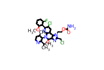 COc1cccc(F)c1-c1nc2c(cc1Cl)c1c(nc(CCl)n1CCOC(N)=O)c(=O)n2-c1c(C)ccnc1C(C)C